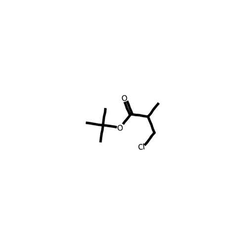 CC(CCl)C(=O)OC(C)(C)C